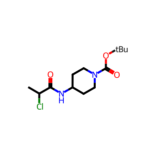 CC(Cl)C(=O)NC1CCN(C(=O)OC(C)(C)C)CC1